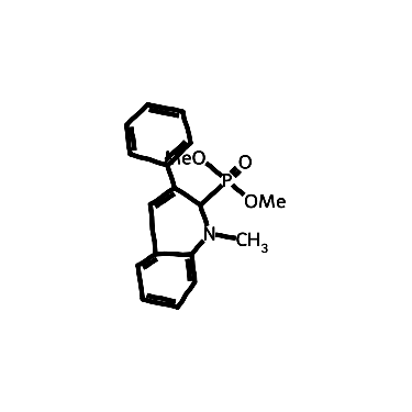 COP(=O)(OC)C1C(c2ccccc2)=Cc2ccccc2N1C